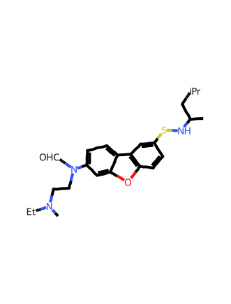 CCN(C)CCN(C=O)c1ccc2c(c1)oc1ccc(SNC(C)CC(C)C)cc12